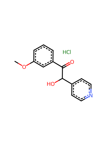 COc1cccc(C(=O)C(O)c2ccncc2)c1.Cl